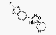 Fc1cc2cc(C3=NO[C@]4(CN5CCC4CC5)N3)ccc2o1